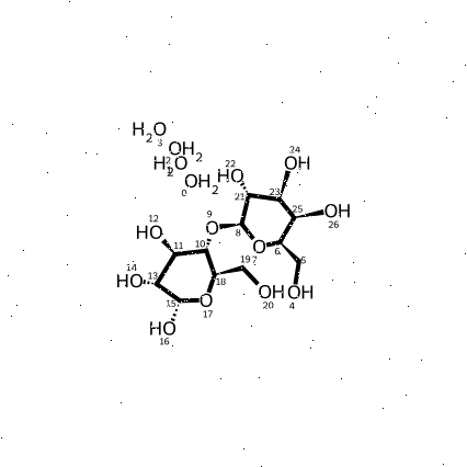 O.O.O.O.OC[C@H]1O[C@@H](O[C@H]2[C@H](O)[C@@H](O)[C@@H](O)O[C@@H]2CO)[C@H](O)[C@@H](O)[C@H]1O